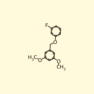 COc1cc(COc2cccc(F)c2)cc(OC)c1